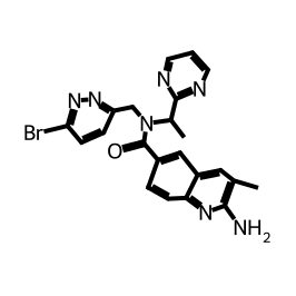 Cc1cc2cc(C(=O)N(Cc3ccc(Br)nn3)C(C)c3ncccn3)ccc2nc1N